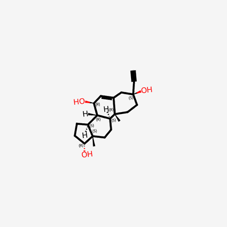 C#C[C@]1(O)CC[C@@]2(C)C(=C[C@H](O)[C@H]3[C@@H]4CC[C@@H](O)[C@@]4(C)CC[C@@H]32)C1